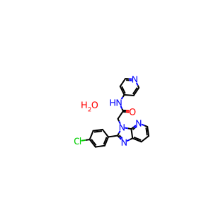 O.O=C(Cn1c(-c2ccc(Cl)cc2)nc2cccnc21)Nc1ccncc1